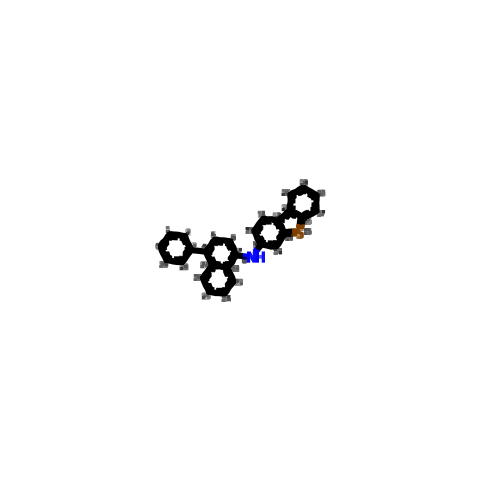 c1ccc(-c2ccc(Nc3ccc4c(c3)sc3ccccc34)c3ccccc23)cc1